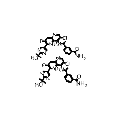 CC(Nc1c(Cl)cnc2cc(F)c(-c3cnc(C(C)(C)O)nc3)nc12)c1cccc(C(N)=O)c1.CC(Nc1c(Cl)cnc2cc(F)c(-c3cnc(C(C)(C)O)nc3)nc12)c1cccc(C(N)=O)c1